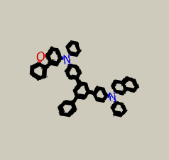 c1ccc(-c2cc(-c3ccc(N(c4ccccc4)c4ccc5ccccc5c4)cc3)cc(-c3ccc(N(c4ccccc4)c4ccc5oc6ccccc6c5c4)cc3)c2)cc1